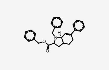 O=C(OCc1ccccc1)C1CC2CCC(c3ccccc3)=C[C@@H]2N1Cc1ccccc1